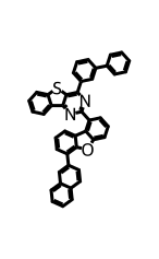 c1ccc(-c2cccc(-c3nc(-c4cccc5oc6c(-c7ccc8ccccc8c7)cccc6c45)nc4c3sc3ccccc34)c2)cc1